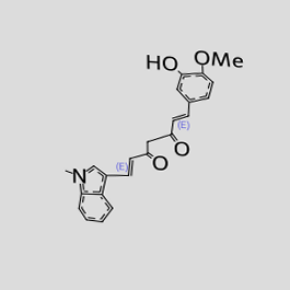 COc1ccc(/C=C/C(=O)CC(=O)/C=C/c2cn(C)c3ccccc23)cc1O